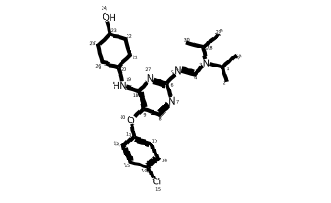 CC(C)N(C=Nc1ncc(Oc2ccc(Cl)cc2)c(NC2CCC(O)CC2)n1)C(C)C